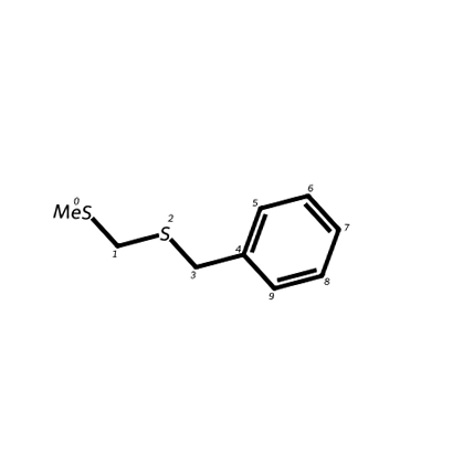 [CH2]SCSCc1ccccc1